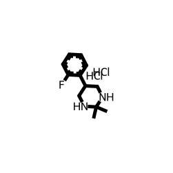 CC1(C)NCC(c2ccccc2F)CN1.Cl.Cl